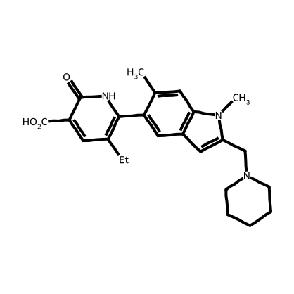 CCc1cc(C(=O)O)c(=O)[nH]c1-c1cc2cc(CN3CCCCC3)n(C)c2cc1C